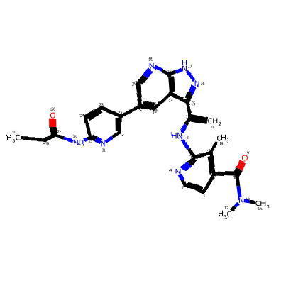 C=C(Nc1nccc(C(=O)N(C)C)c1C)c1n[nH]c2ncc(-c3ccc(NC(=O)CC)nc3)cc12